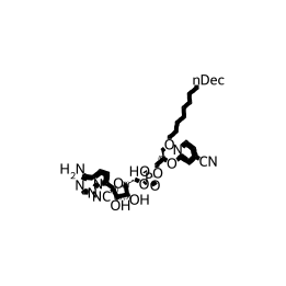 CCCCCCCCCCCCCCCCCCOC[C@H](COP(=O)(O)OC[C@H]1O[C@@](C#N)(c2ccc3c(N)ncnn23)[C@H](O)[C@@H]1O)Oc1cc(C#N)ccn1